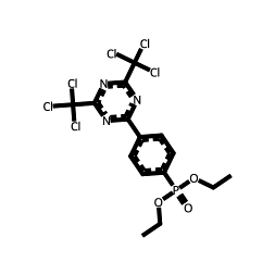 CCOP(=O)(OCC)c1ccc(-c2nc(C(Cl)(Cl)Cl)nc(C(Cl)(Cl)Cl)n2)cc1